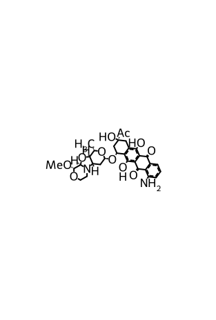 CO[C@H]1OCCN2[C@@H]1O[C@@H]1[C@H](C)O[C@@H](O[C@H]3C[C@](O)(C(C)=O)Cc4c(O)c5c(c(O)c43)C(=O)c3c(N)cccc3C5=O)C[C@@H]12